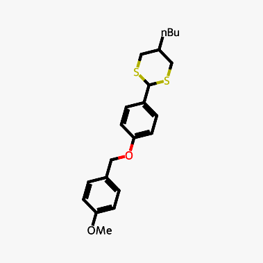 CCCCC1CSC(c2ccc(OCc3ccc(OC)cc3)cc2)SC1